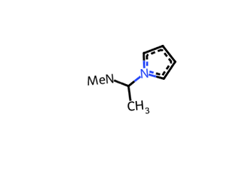 CNC(C)n1cccc1